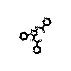 O=C(Nc1nc(NC(=O)c2cccnc2)n(-c2ccccc2)n1)c1cccnc1